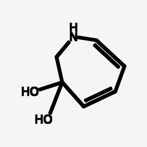 OC1(O)C=CC=CNC1